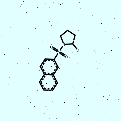 CC(=O)C1CCCN1S(=O)(=O)c1ccc2ccccc2c1